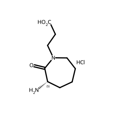 Cl.N[C@H]1CCCCN(CCC(=O)O)C1=O